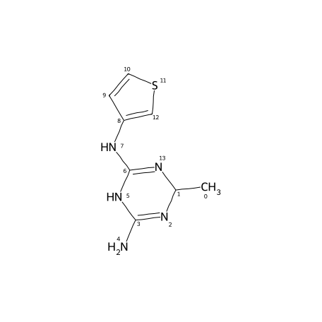 CC1N=C(N)NC(Nc2ccsc2)=N1